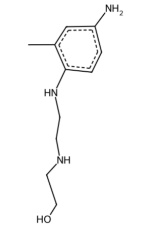 Cc1cc(N)ccc1NCCNCCO